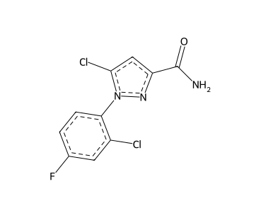 NC(=O)c1cc(Cl)n(-c2ccc(F)cc2Cl)n1